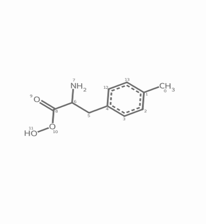 Cc1ccc(CC(N)C(=O)OO)cc1